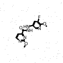 COc1nccc(C(=O)NNc2cnc(OC)c(F)c2)n1